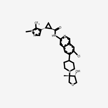 Cn1ncc([C@@H]2C[C@H]2C(=O)Nc2cc3cc(C4CCN([C@@]5(C)COC[C@H]5O)CC4)c(Cl)cc3cn2)c1C(F)(F)F